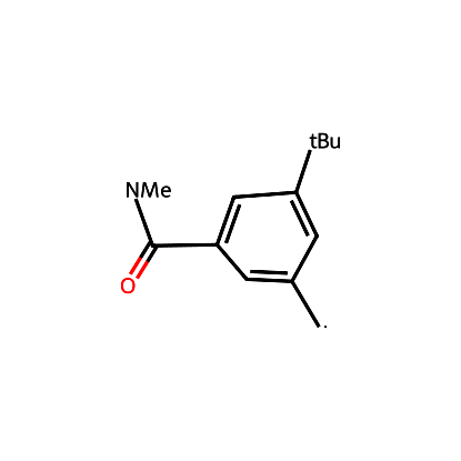 [CH2]c1cc(C(=O)NC)cc(C(C)(C)C)c1